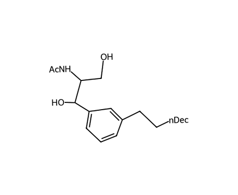 CCCCCCCCCCCCc1cccc(C(O)C(CO)NC(C)=O)c1